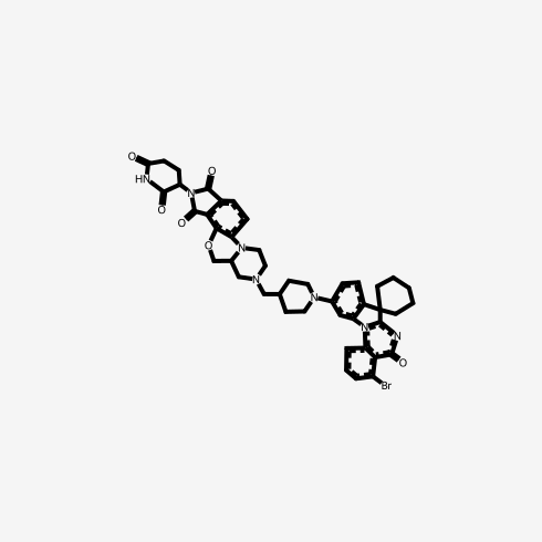 O=C1CCC(N2C(=O)c3ccc4c(c3C2=O)OCC2CN(CC3CCN(c5ccc6c(c5)-n5c(nc(=O)c7c(Br)cccc75)C65CCCCC5)CC3)CCN42)C(=O)N1